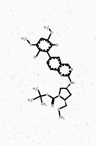 COC[C@@H]1C[C@H](Nc2ncc3cc(-c4c(Cl)c(OC)cc(OC)c4Cl)ccc3n2)CN1C(=O)OC(C)(C)C